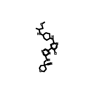 COCC(C)NC1CCC(Nc2cc(-c3cncc(NCC4(C#N)CCOCC4)n3)c(Cl)cn2)CC1